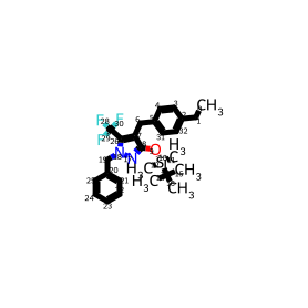 CCc1ccc(Cc2c(O[Si](C)(C)C(C)(C)C)nn(Cc3ccccc3)c2C(F)(F)F)cc1